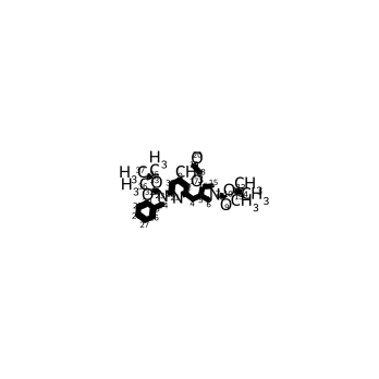 Cc1cc(CC2CN(C(=O)OC(C)(C)C)CC2OCC=O)nc(N(Cc2ccccc2)C(=O)OC(C)(C)C)c1